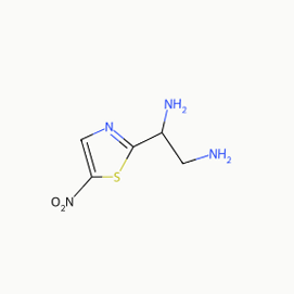 NCC(N)c1ncc([N+](=O)[O-])s1